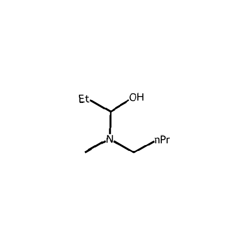 CCCCN(C)C(O)CC